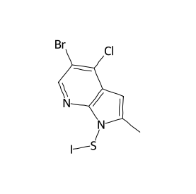 Cc1cc2c(Cl)c(Br)cnc2n1SI